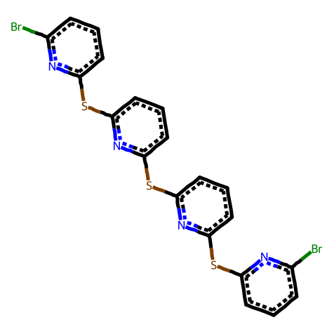 Brc1cccc(Sc2cccc(Sc3cccc(Sc4cccc(Br)n4)n3)n2)n1